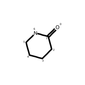 O=C1CCCC[N]1